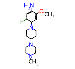 COC1=CC(N2CCC(N3CCN(C)CC3)CC2)C(F)C=C1N